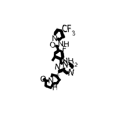 Cc1cc(C(=O)Nc2cc(C(F)(F)F)ccn2)c(F)cc1C1=NC([C@@H]2CC[C@H]3CCC(=O)N3C2)=C2C=NC=C[N+]12N